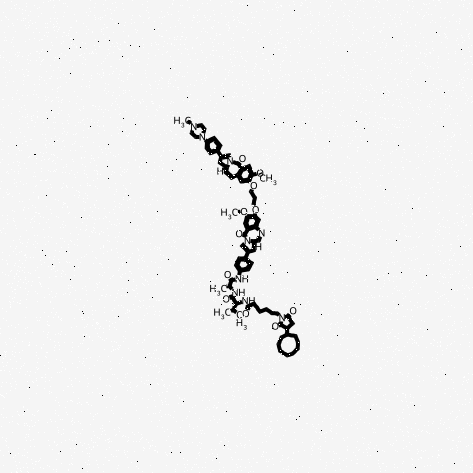 COc1cc2c(cc1OCCCOc1cc3c(cc1OC)C(=O)N1C=C(c4ccc(NC(=O)[C@H](C)NC(=O)C(NC(=O)CCCCCN5C(=O)CC(C6CCCCCCCC6)C5=O)C(C)C)cc4)C[C@H]1C=N3)C=C[C@@H]1CC(c3ccc(N4CCN(C)CC4)cc3)=CN1C2=O